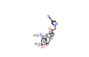 CNC1C[C@@](C)(O)C[C@H]2CC[C@@H]3[C@H](CC[C@]4(C)[C@@H](C(=O)Cn5cc(C#N)cn5)CC[C@@H]34)[C@@H]12